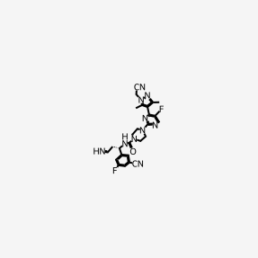 Cc1nn(CC#N)c(C)c1-c1nc(N2CCN(C(=O)N[C@@H](CC=N)c3cc(F)cc(C#N)c3)CC2)ncc1F